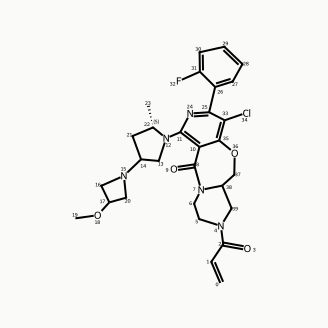 C=CC(=O)N1CCN2C(=O)c3c(N4CC(N5CC(OC)C5)C[C@@H]4C)nc(-c4ccccc4F)c(Cl)c3OCC2C1